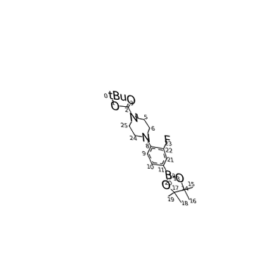 CC(C)(C)OC(=O)N1CCN(c2ccc(B3OC(C)(C)C(C)(C)O3)cc2F)CC1